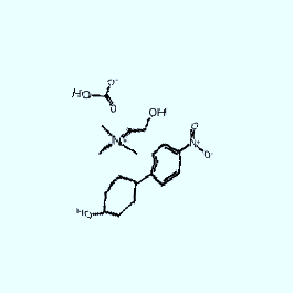 C[N+](C)(C)CCO.O=C([O-])O.O=[N+]([O-])c1ccc(C2CCC(O)CC2)cc1